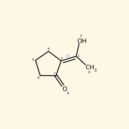 C/C(O)=C1/CCCC1=O